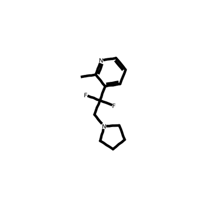 Cc1ncccc1C(F)(F)CN1CCCC1